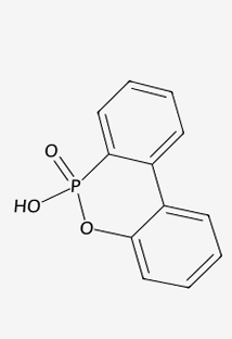 O=P1(O)Oc2ccccc2-c2ccccc21